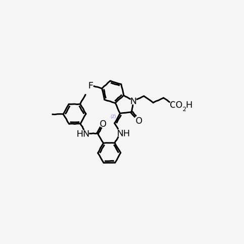 Cc1cc(C)cc(NC(=O)c2ccccc2N/C=C2\C(=O)N(CCCC(=O)O)c3ccc(F)cc32)c1